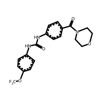 O=C(Nc1ccc(OC(F)(F)F)cc1)Nc1ccc(C(=O)N2CCOCC2)cc1